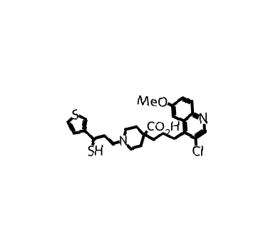 COc1ccc2ncc(Cl)c(CCCC3(C(=O)O)CCN(CCC(S)c4ccsc4)CC3)c2c1